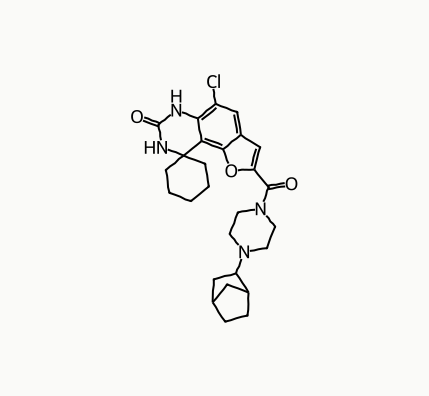 O=C1Nc2c(Cl)cc3cc(C(=O)N4CCN(C5CC6CCC5C6)CC4)oc3c2C2(CCCCC2)N1